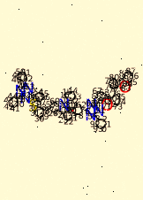 c1ccc(-c2nc(-c3cccc(-c4ccccc4-n4c5ccccc5c5cc(-c6cccc7sc8c(-c9nc(-c%10ccccc%10)nc(-c%10ccccc%10)n9)cccc8c67)ccc54)c3)nc(-c3cccc4c3oc3cccc(-c5cccc6c5oc5ccccc56)c34)n2)cc1